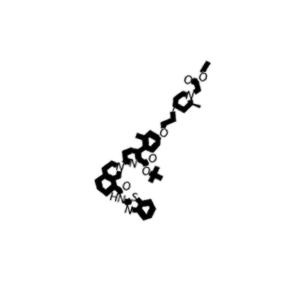 CCOC(=O)CN1CC[C@@H](CCCOc2ccc(-c3ccc(N4CCc5cccc(C(=O)Nc6nc7ccccc7s6)c5C4)nc3C(=O)OC(C)(C)C)c(C)c2)C[C@@H]1C